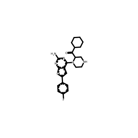 Nc1nc(N2CCNCC2C(=O)C2CCCCC2)c2cc(-c3ccc(F)cc3)sc2n1